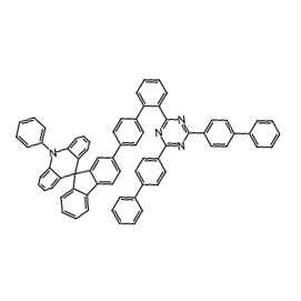 c1ccc(-c2ccc(-c3nc(-c4ccc(-c5ccccc5)cc4)nc(-c4ccccc4-c4ccc(-c5ccc6c(c5)C5(c7ccccc7-6)c6ccccc6N(c6ccccc6)c6ccccc65)cc4)n3)cc2)cc1